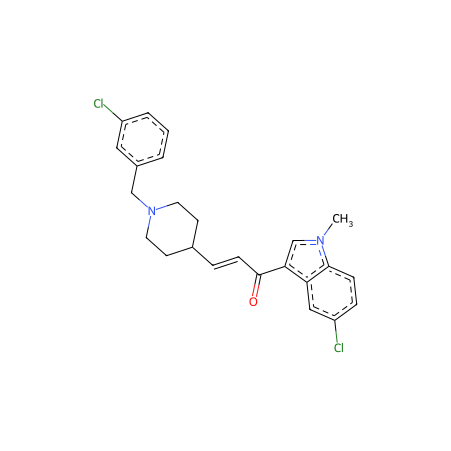 Cn1cc(C(=O)C=CC2CCN(Cc3cccc(Cl)c3)CC2)c2cc(Cl)ccc21